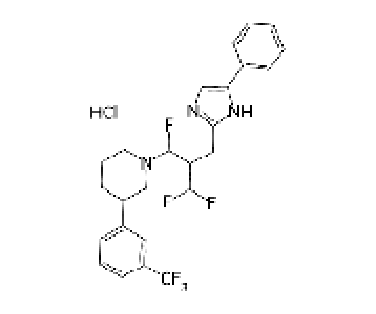 Cl.FC(F)C(Cc1ncc(-c2ccccc2)[nH]1)C(F)N1CCCC(c2cccc(C(F)(F)F)c2)C1